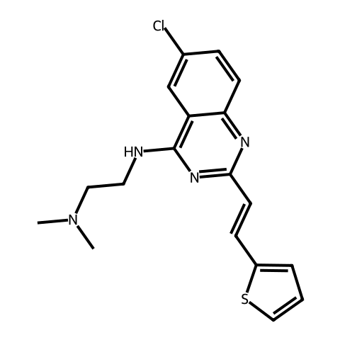 CN(C)CCNc1nc(C=Cc2cccs2)nc2ccc(Cl)cc12